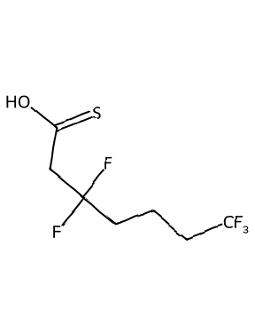 OC(=S)CC(F)(F)CCCC(F)(F)F